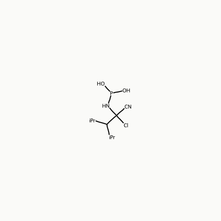 CC(C)C(C(C)C)C(Cl)(C#N)NP(O)O